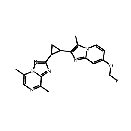 Cc1ncc(C)n2nc(C3CC3c3nc4cc(OCF)ccn4c3C)nc12